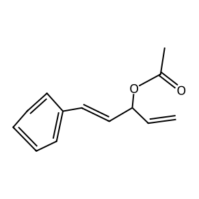 C=CC(C=Cc1ccccc1)OC(C)=O